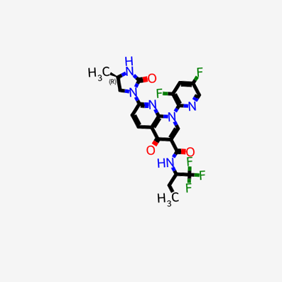 CCC(NC(=O)c1cn(-c2ncc(F)cc2F)c2nc(N3C[C@@H](C)NC3=O)ccc2c1=O)C(F)(F)F